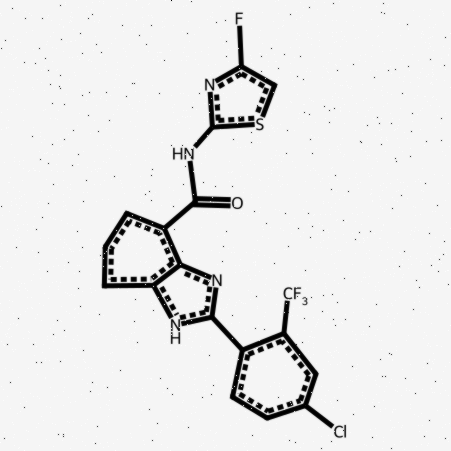 O=C(Nc1nc(F)cs1)c1cccc2[nH]c(-c3ccc(Cl)cc3C(F)(F)F)nc12